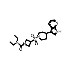 CCN(CC)C(=O)N1CC(S(=O)(=O)N2CCC(c3c[nH]c4ncccc34)CC2)C1